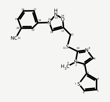 Cn1c(-c2cccs2)cnc1SCC1=CN(c2cccc(C#N)c2)NO1